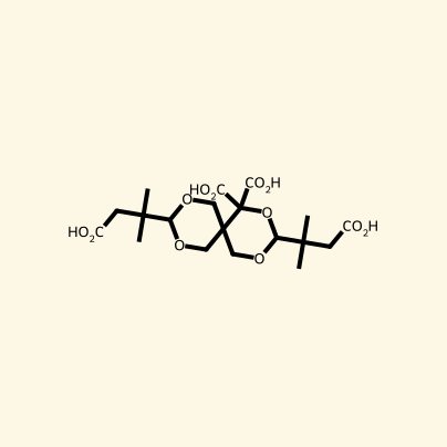 CC(C)(CC(=O)O)C1OCC2(CO1)COC(C(C)(C)CC(=O)O)OC2(C(=O)O)C(=O)O